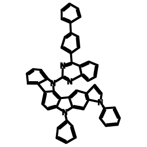 c1ccc(-c2ccc(-c3nc(-n4c5ccccc5c5ccc6c(c7cc8ccn(-c9ccccc9)c8cc7n6-c6ccccc6)c54)nc4ccccc34)cc2)cc1